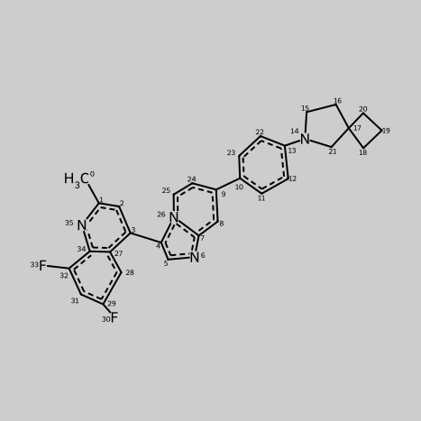 Cc1cc(-c2cnc3cc(-c4ccc(N5CCC6(CCC6)C5)cc4)ccn23)c2cc(F)cc(F)c2n1